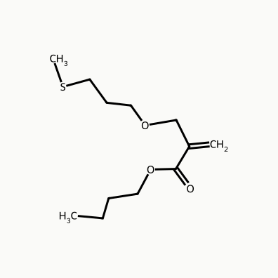 C=C(COCCCSC)C(=O)OCCCC